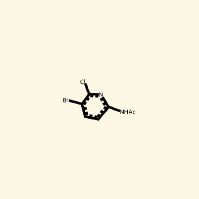 CC(=O)Nc1ccc(Br)c(Cl)n1